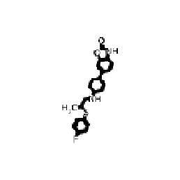 CC(CNC1CCC(c2ccc3[nH]c(=O)oc3c2)CC1)Sc1ccc(F)cc1